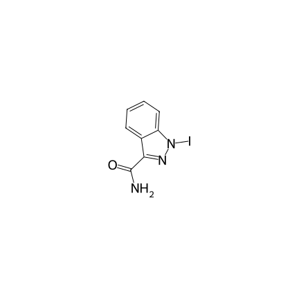 NC(=O)c1nn(I)c2ccccc12